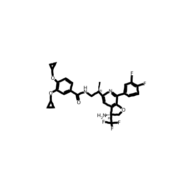 C[C@H](CNC(=O)c1ccc(OC2CC2)c(OC2CC2)c1)c1cc2c(c(-c3ccc(F)c(F)c3)n1)OC[C@@]2(N)C(F)(F)F